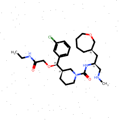 CCNC(=O)CO[C@@H](c1cccc(Cl)c1)[C@@H]1CCCN(C(=O)N[C@H](CNC)C[C@H]2CCCCOC2)C1